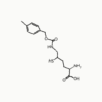 Cc1ccc(COC(=O)NCC(S)CCC(N)C(=O)O)cc1